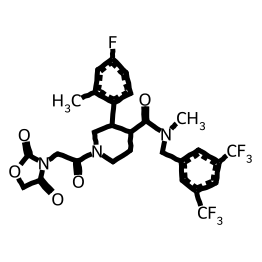 Cc1cc(F)ccc1C1CN(C(=O)CN2C(=O)COC2=O)CCC1C(=O)N(C)Cc1cc(C(F)(F)F)cc(C(F)(F)F)c1